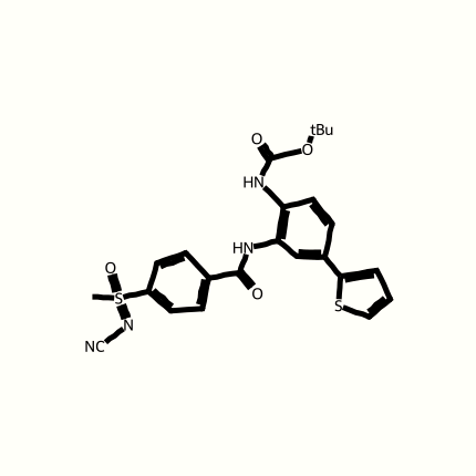 CC(C)(C)OC(=O)Nc1ccc(-c2cccs2)cc1NC(=O)c1ccc(S(C)(=O)=NC#N)cc1